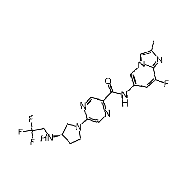 Cc1cn2cc(NC(=O)c3cnc(N4CC[C@@H](NCC(F)(F)F)C4)cn3)cc(F)c2n1